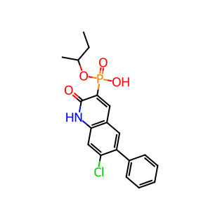 CCC(C)OP(=O)(O)c1cc2cc(-c3ccccc3)c(Cl)cc2[nH]c1=O